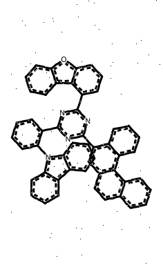 c1ccc(-n2c3ccccc3c3ccccc32)c(-c2nc(-c3cc4ccc5ccccc5c4c4ccccc34)nc(-c3cccc4oc5ccccc5c34)n2)c1